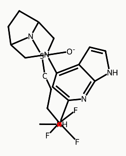 CNc1cc(N2CC3CCC(C2)N3[S+]([O-])CCCC(F)(F)F)c2cc[nH]c2n1